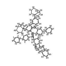 c1ccc(-c2ccc(N3B4c5c(cc(-c6ccccc6)cc5-n5c6ccc(C78CCCC(CCC7)C8)cc6c6cc(C78CCCC(CCC7)C8)cc4c65)-c4cc5c(cc43)sc3cc4ccccc4cc35)cc2)cc1